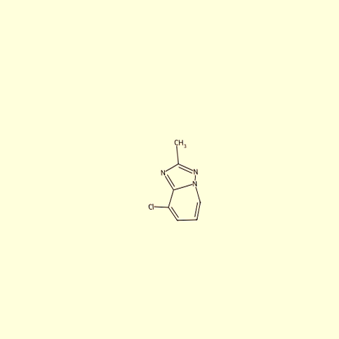 Cc1nc2c(Cl)cccn2n1